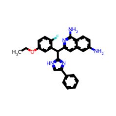 CCOc1ccc(F)c(C(c2cc3cc(N)ccc3c(N)n2)c2nc(-c3ccccc3)c[nH]2)c1